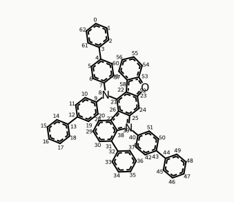 c1ccc(-c2ccc(N(c3ccc(-c4ccccc4)cc3)c3c4c(cc5c3c3cccc(-c6ccccc6)c3n5-c3ccc(-c5ccccc5)cc3)oc3ccccc34)cc2)cc1